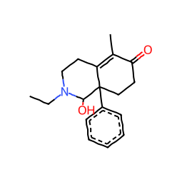 CCN1CCC2=C(C)C(=O)CCC2(c2ccccc2)C1O